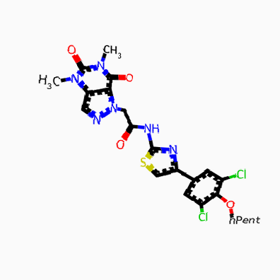 CCCCCOc1c(Cl)cc(-c2csc(NC(=O)Cn3ncc4c3c(=O)n(C)c(=O)n4C)n2)cc1Cl